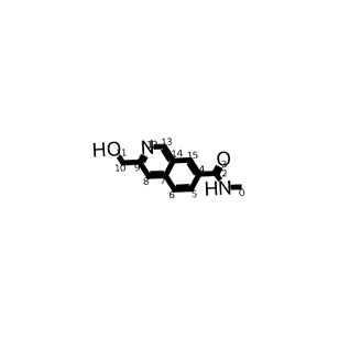 CNC(=O)c1ccc2cc(CO)ncc2c1